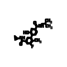 Cc1c(F)cc(C(=O)NC2CC2)cc1-c1ccc(C(=O)NCC(C)C)cc1O